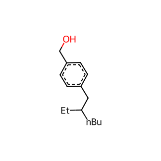 CCCCC(CC)Cc1ccc(CO)cc1